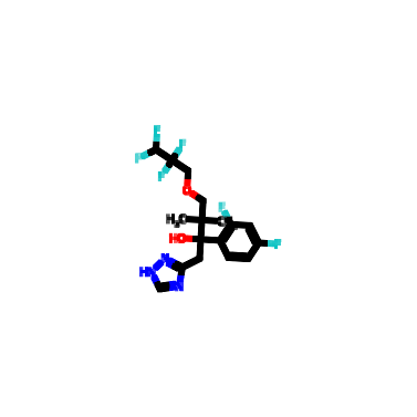 CC(C)(COCC(F)(F)C(F)F)C(O)(Cc1nc[nH]n1)c1ccc(F)cc1F